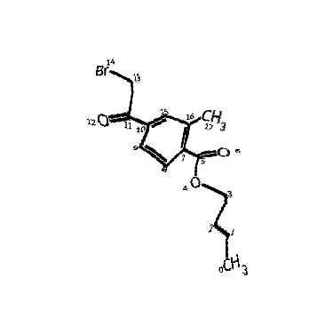 CCCCOC(=O)c1ccc(C(=O)CBr)cc1C